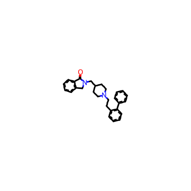 O=C1c2ccccc2CN1CC1CCN(CCc2ccccc2-c2ccccc2)CC1